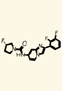 O=C(Nc1ccn2cc(-c3cccc(F)c3F)nc2c1)N1CC[C@H](F)C1